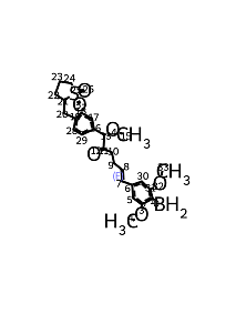 Bc1c(OC)cc(/C=C/CCC(=O)C(OC)c2ccc(CC3CCCS3(=O)=O)cc2)cc1OC